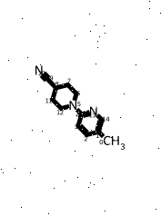 Cc1ccc(N2CCC(C#N)CC2)nc1